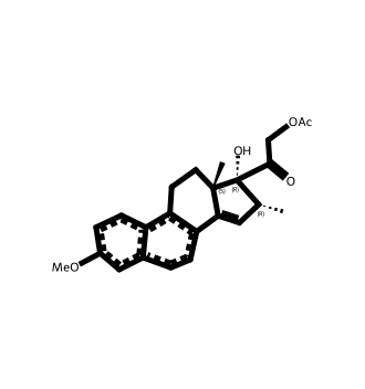 COc1ccc2c3c(ccc2c1)C1=C[C@@H](C)[C@](O)(C(=O)COC(C)=O)[C@@]1(C)CC3